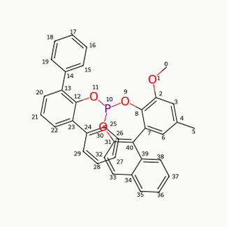 COc1cc(C)cc2c1op(Oc1c(-c3ccccc3)cccc1-c1ccccc1)oc1ccc3ccccc3c12